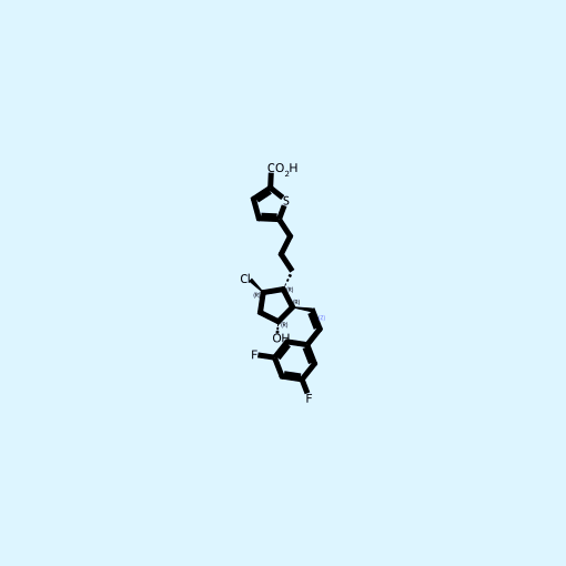 O=C(O)c1ccc(CCC[C@@H]2[C@@H](/C=C\c3cc(F)cc(F)c3)[C@H](O)C[C@H]2Cl)s1